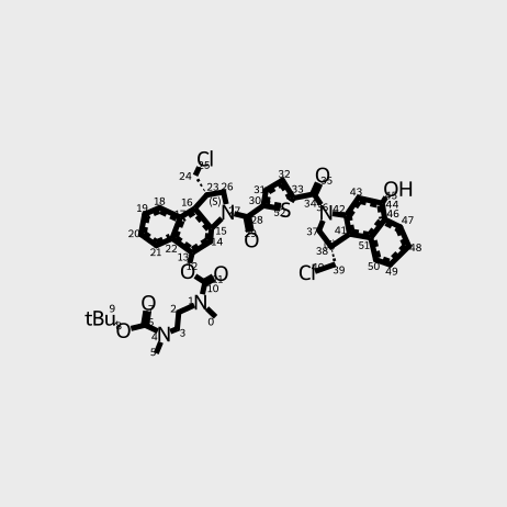 CN(CCN(C)C(=O)OC(C)(C)C)C(=O)Oc1cc2c(c3ccccc13)[C@H](CCl)CN2C(=O)c1ccc(C(=O)N2C[C@@H](CCl)c3c2cc(O)c2ccccc32)s1